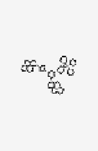 c1ccc([Si](c2ccccc2)(c2ccccc2)c2ccc(-c3cc(-c4ccc(-c5ccc6ccc7cccc8ccc5c6c78)cc4)cc(-c4ccc5ccc6cccc7ccc4c5c67)c3)cc2)cc1